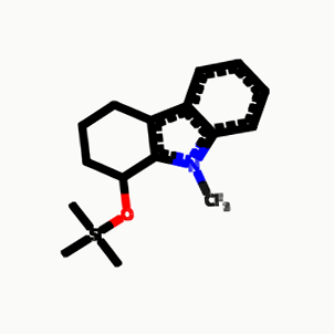 C[Si](C)(C)OC1CCCc2c1n(C(F)(F)F)c1ccccc21